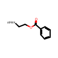 CCCCCCCCOC(=O)c1[c]cccc1